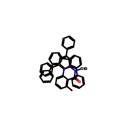 Cc1cccc(-n2c3c(-c4ccccc4)cccc3c3cccc(-c4ccccc4)c32)c1C(=O)N(C=O)c1cc(-c2ccccc2)cc(-c2ccccc2)c1